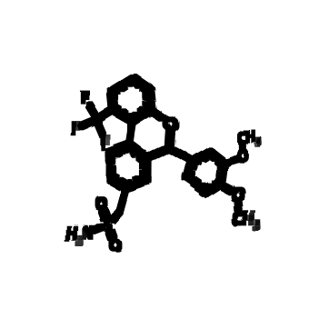 COc1ccc(C2Oc3cccc(C(F)(F)F)c3-c3ccc(CS(N)(=O)=O)cc32)cc1OC